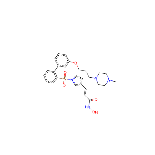 CN1CCN(CCCOc2cccc(-c3ccccc3S(=O)(=O)n3ccc(C=CC(=O)NO)c3)c2)CC1